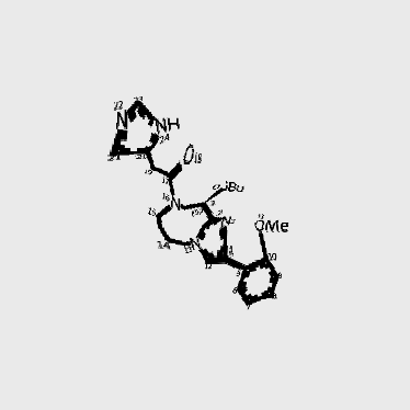 CCC(C)[C@H]1c2nc(-c3ccccc3OC)cn2CCN1C(=O)Cc1cnc[nH]1